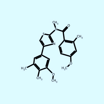 COc1ccc(C(=O)N(C)c2nc(-c3cc(C)c(C)c(OC)c3)cs2)c(C)c1